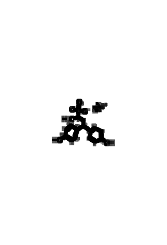 CC(CC(c1ccc(O)cc1)c1ccc(O)cc1)P(=O)([O-])[O-].[Na+].[Na+]